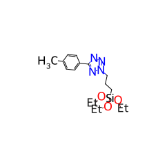 CCO[Si](CCCn1nnc(-c2ccc(C)cc2)n1)(OCC)OCC